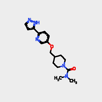 CN(C)C(=O)N1CCC(COc2ccc(-c3ccn[nH]3)nc2)CC1